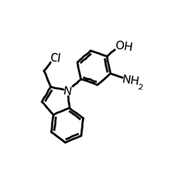 Nc1cc(-n2c(CCl)cc3ccccc32)ccc1O